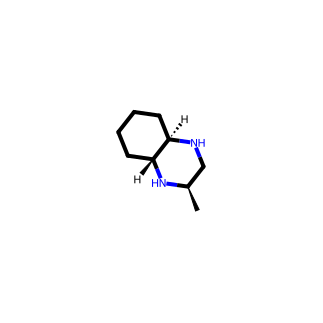 C[C@@H]1CN[C@@H]2CCCC[C@H]2N1